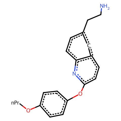 CCCOc1ccc(Oc2ccc3cc(CCN)ccc3n2)cc1